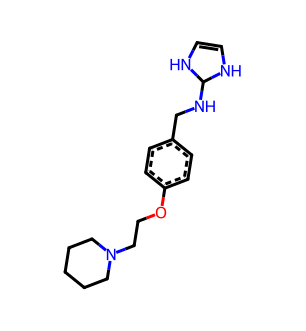 C1=CNC(NCc2ccc(OCCN3CCCCC3)cc2)N1